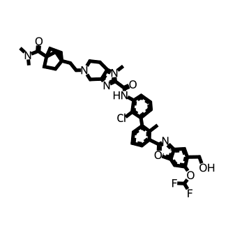 Cc1c(-c2nc3cc(CO)c(OC(F)F)cc3o2)cccc1-c1cccc(NC(=O)c2nc3c(n2C)CCN(CCC24CCC(C(=O)N(C)C)(CC2)C4)C3)c1Cl